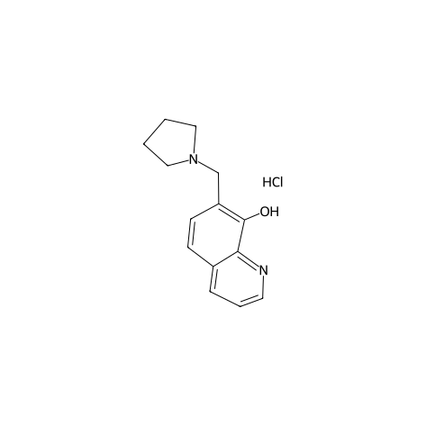 Cl.Oc1c(CN2CCCC2)ccc2cccnc12